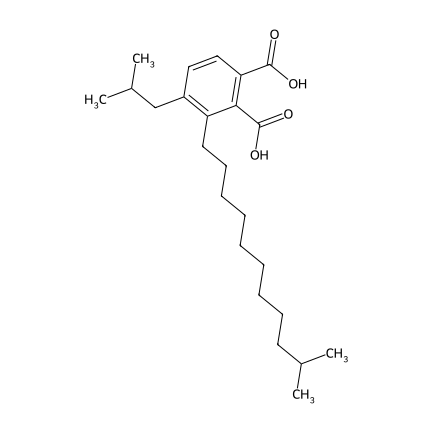 CC(C)CCCCCCCCCc1c(CC(C)C)ccc(C(=O)O)c1C(=O)O